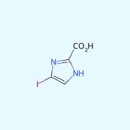 O=C(O)c1nc(I)c[nH]1